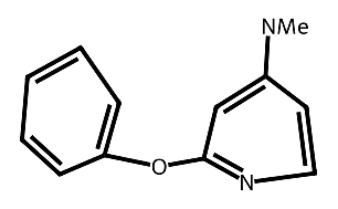 CNc1ccnc(Oc2ccccc2)c1